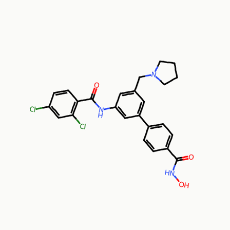 O=C(NO)c1ccc(-c2cc(CN3CCCC3)cc(NC(=O)c3ccc(Cl)cc3Cl)c2)cc1